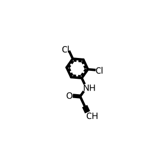 C#CC(=O)Nc1ccc(Cl)cc1Cl